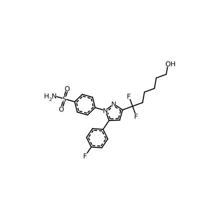 NS(=O)(=O)c1ccc(-n2nc(C(F)(F)CCCCCO)cc2-c2ccc(F)cc2)cc1